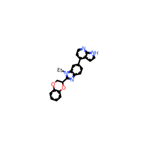 CCn1c(C2COc3ccccc3O2)nc2ccc(-c3ccnc4[nH]ccc34)cc21